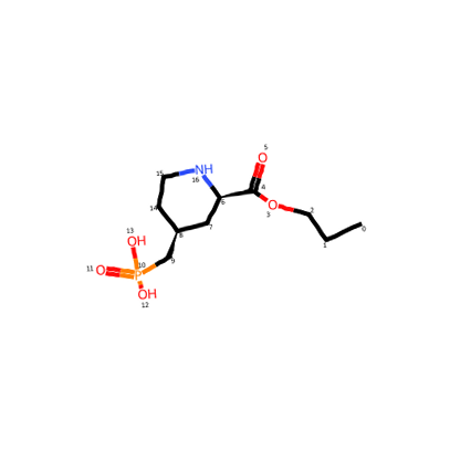 CCCOC(=O)[C@H]1C[C@@H](CP(=O)(O)O)CCN1